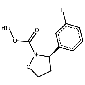 CC(C)(C)OC(=O)N1OCC[C@@H]1c1cccc(F)c1